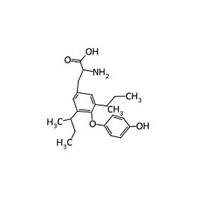 CCC(C)c1cc(CC(N)C(=O)O)cc(C(C)CC)c1Oc1ccc(O)cc1